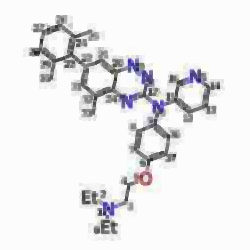 CCN(CC)CCOc1ccc(N(c2cccnc2)c2nnc3cc(-c4c(C)cccc4C)cc(C)c3n2)cc1